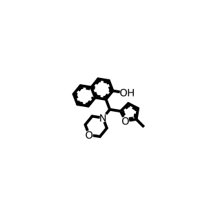 Cc1ccc(C(c2c(O)ccc3ccccc23)N2CCOCC2)o1